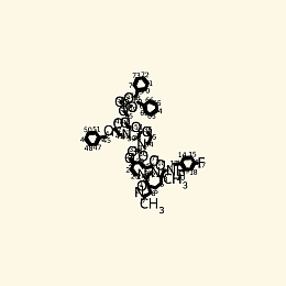 CC1=NOC2(CCC(C)(C(=O)NCc3ccc(F)cc3F)N3CC2n2ccc(=O)c(OC(=O)N4CCOC[C@H]4CN(CC(=O)OCc4ccccc4)C(=O)OCOP(=O)(OCc4ccccc4)OCc4ccccc4)c2C3=O)C1